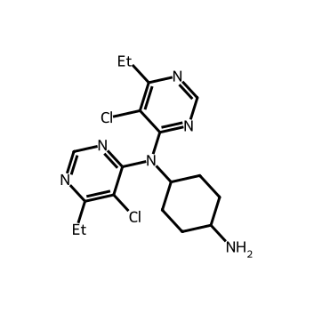 CCc1ncnc(N(c2ncnc(CC)c2Cl)C2CCC(N)CC2)c1Cl